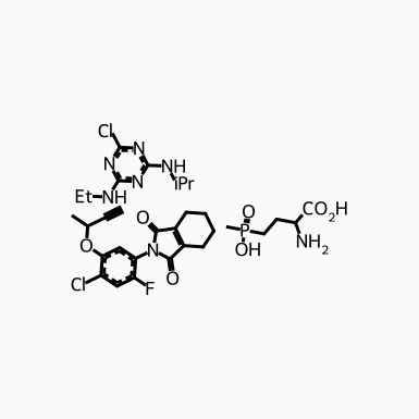 C#CC(C)Oc1cc(N2C(=O)C3=C(CCCC3)C2=O)c(F)cc1Cl.CCNc1nc(Cl)nc(NC(C)C)n1.CP(=O)(O)CCC(N)C(=O)O